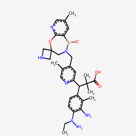 CCN(N)c1ccc(C(c2cc(CN3CC4(CNC4)Oc4ncc(C)cc4[S+]3[O-])c(C)cn2)C(C)(C)C(=O)O)c(C)c1N